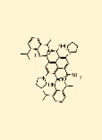 CC(C)c1cccc(C(C)C)c1NC(=O)c1cc(N2CCCC2)c(C(=O)Nc2c(C(C)C)cccc2C(C)C)c2c(C(N)=O)cc(N3CCCC3)c(C(N)=O)c12